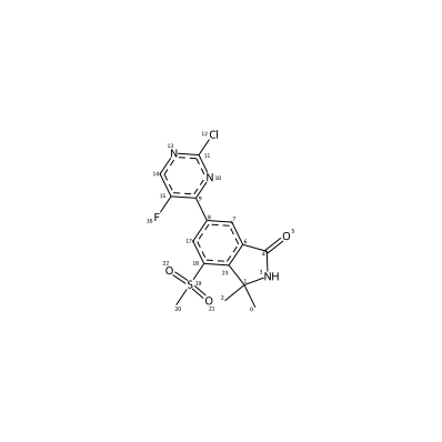 CC1(C)NC(=O)c2cc(-c3nc(Cl)ncc3F)cc(S(C)(=O)=O)c21